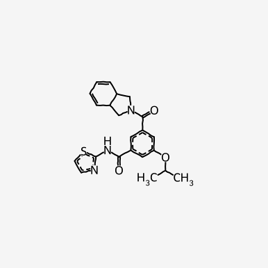 CC(C)Oc1cc(C(=O)Nc2nccs2)cc(C(=O)N2CC3C=CC=CC3C2)c1